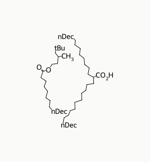 CCCCCCCCCCCCCCCCCC(=O)OCCC(C)CC(C)(C)C.CCCCCCCCCCCCCCCCCCCCC(CCCCCCCCCCCCCCCCCC)C(=O)O